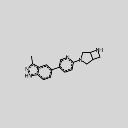 Cc1n[nH]c2ccc(-c3ccc(N4CC5CNC5C4)nc3)cc12